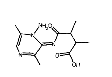 Cc1ncc(C)n(N)c1=NC(=O)C(C)C(C)C(=O)O